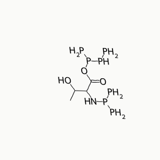 CC(O)C(NP(P)P)C(=O)OP(P)PP